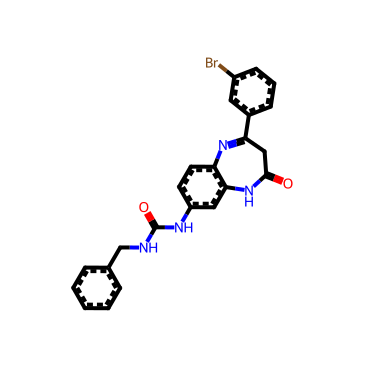 O=C1CC(c2cccc(Br)c2)=Nc2ccc(NC(=O)NCc3ccccc3)cc2N1